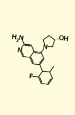 CC1C=CC=C(F)C1c1cc(N2CC[C@H](O)C2)c2cc(N)ncc2c1